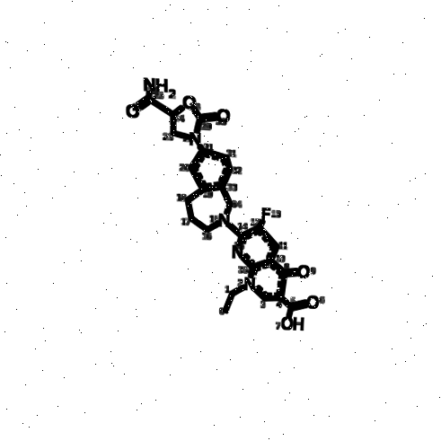 CCn1cc(C(=O)O)c(=O)c2cc(F)c(N3CCCc4cc(N5CC(C(N)=O)OC5=O)ccc4C3)nc21